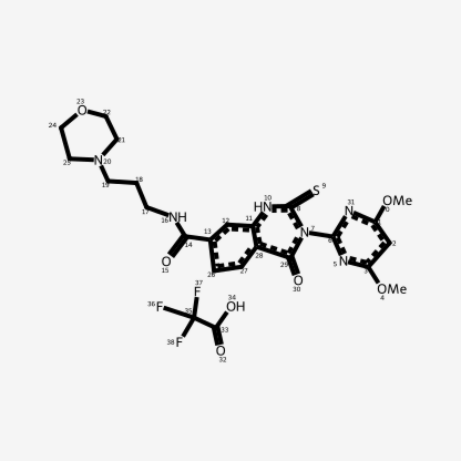 COc1cc(OC)nc(-n2c(=S)[nH]c3cc(C(=O)NCCCN4CCOCC4)ccc3c2=O)n1.O=C(O)C(F)(F)F